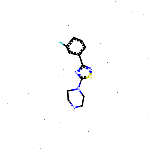 Fc1cccc(-c2nsc(N3CCNCC3)n2)c1